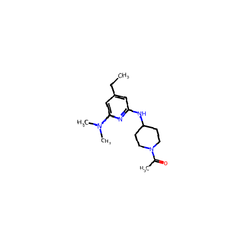 CCc1cc(NC2CCN(C(C)=O)CC2)nc(N(C)C)c1